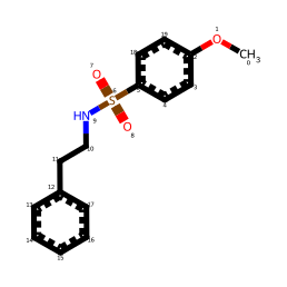 COc1ccc(S(=O)(=O)NCCc2cc[c]cc2)cc1